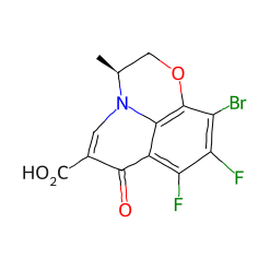 C[C@H]1COc2c(Br)c(F)c(F)c3c(=O)c(C(=O)O)cn1c23